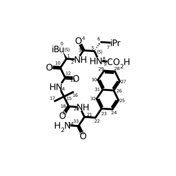 CC[C@H](C)C(NC(=O)[C@H](CC(C)C)NC(=O)O)C(=O)C(=O)NC(C)(C)C(=O)NC(Cc1ccc2ccccc2c1)C(N)=O